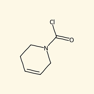 O=C(Cl)N1CC=CCC1